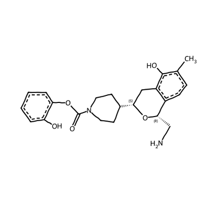 Cc1ccc2c(c1O)C[C@@H](C1CCN(C(=O)Oc3ccccc3O)CC1)O[C@H]2CN